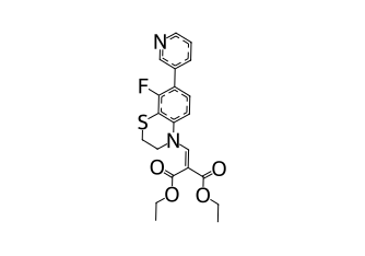 CCOC(=O)C(=CN1CCSc2c1ccc(-c1cccnc1)c2F)C(=O)OCC